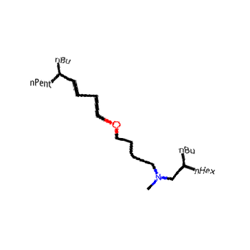 CCCCCCC(CCCC)CN(C)CCCCOCCCCC(CCCC)CCCCC